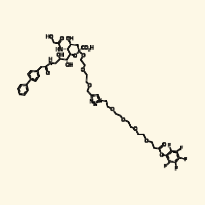 O=C(Cc1ccc(-c2ccccc2)cc1)NC[C@@H](O)[C@@H](O)[C@@H]1O[C@@](OCCOCCOCc2cn(CCOCCOCCOCCOCCC(=O)Oc3c(F)c(F)c(F)c(F)c3F)nn2)(C(=O)O)C[C@H](O)[C@H]1NC(=O)CO